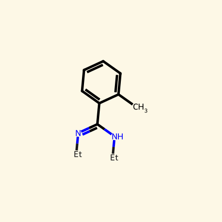 CCN=C(NCC)c1ccccc1C